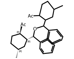 CC(=O)C1CCC(C)CC1C(OC(c1ccccc1)[C@@H]1C[C@H](C)CC[C@H]1C(C)=O)c1ccccc1